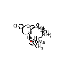 CO[C@]1(c2nccn2C)CCC[C@H](C)[C@@H](C)S(=O)(=O)NC(=O)c2ccc3c(c2)N(CCCCc2cc(Cl)ccc2CO3)C[C@@H]2CC[C@H]21